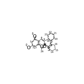 COc1cc(OC)c(C=C(C(=O)C2SCCCS2)c2ccccc2)c(OC)c1